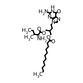 CCCCCCCCCCCC(=O)OCC(CCn1cnc2c(=O)[nH]c(N)nc21)COC(=O)[C@@H](N)C(C)CC